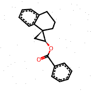 O=C(O[C@H]1C[C@@]12CCCc1ccccc12)c1ccccc1